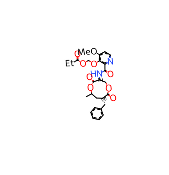 CCC(=O)OCOc1c(OC)ccnc1C(=O)N[C@H]1COC(=O)[C@H](Cc2ccccc2)CC(C)OC1=O